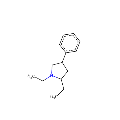 CCC1CC(c2ccccc2)CN1CC